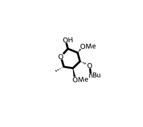 CCCCO[C@@H]1[C@@H](OC)[C@H](C)OC(O)[C@@H]1OC